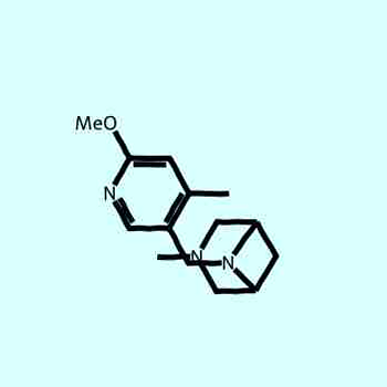 COc1cc(C)c(CN2C3CC2CN(C)C3)cn1